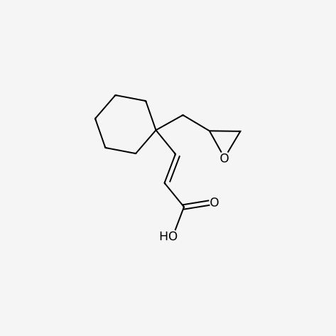 O=C(O)C=CC1(CC2CO2)CCCCC1